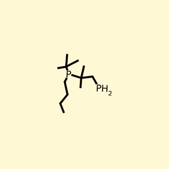 CCCCP(C(C)(C)C)C(C)(C)CP